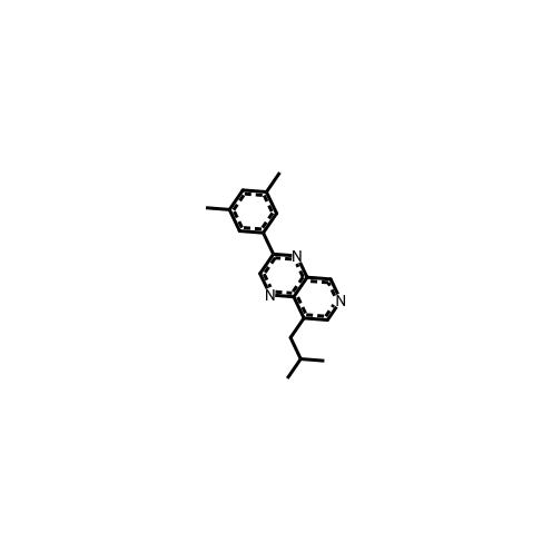 Cc1cc(C)cc(-c2cnc3c(CC(C)C)cncc3n2)c1